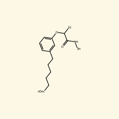 CCCCCCCCCCCCCCCc1cccc(OC(CC)C(=O)NC(C)C)c1